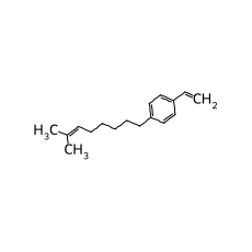 C=Cc1ccc(CCCCCC=C(C)C)cc1